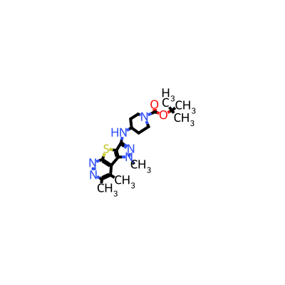 Cc1nnc2sc3c(NC4CCN(C(=O)OC(C)(C)C)CC4)nn(C)c3c2c1C